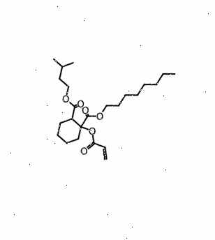 C=CC(=O)OC1(C(=O)OCCCCCCCC)CCCCC1C(=O)OCCC(C)C